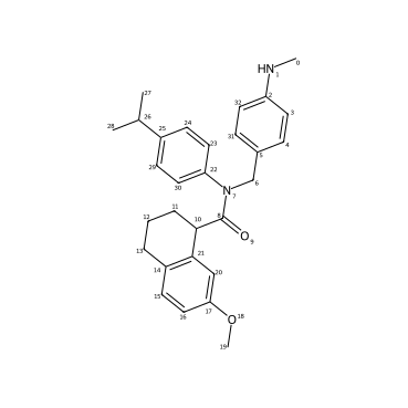 CNc1ccc(CN(C(=O)C2CCCc3ccc(OC)cc32)c2ccc(C(C)C)cc2)cc1